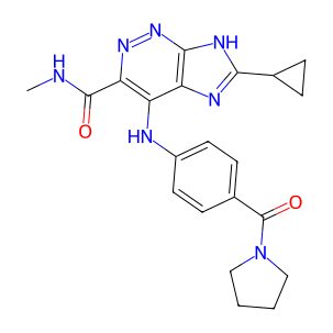 CNC(=O)c1nnc2[nH]c(C3CC3)nc2c1Nc1ccc(C(=O)N2CCCC2)cc1